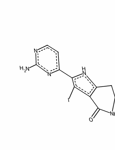 Nc1nccc(-c2[nH]c3c(c2I)C(=O)NCC3)n1